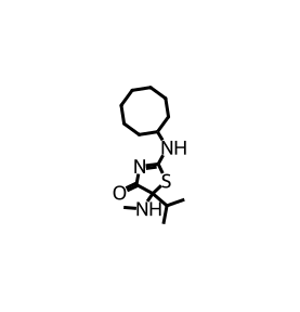 CNC1(C(C)C)SC(NC2CCCCCCC2)=NC1=O